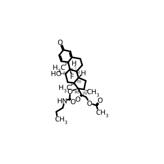 CCCNC(=O)O[C@]1(C(=O)COC(C)=O)[C@@H](C)C[C@H]2[C@@H]3CCC4=CC(=O)C=C[C@]4(C)[C@@]3(F)[C@@H](O)C[C@@]21C